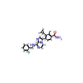 Cc1c(C(N)=O)ccc(-c2cnc3c(NCc4ccccc4F)nccn23)c1C1CC1